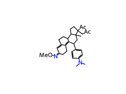 CO/N=C1\C=C2CCC3C(=C2CC1)C(c1ccc(N(C)C)cc1)CC1(C)C3CCC1(CC(C)=O)C(C)=O